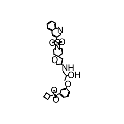 O=S(=O)(c1cccc(OCC(O)CNC2COC3(CCN(S(=O)(=O)c4cnc5ccccc5c4)CC3)C2)c1)C1CCC1